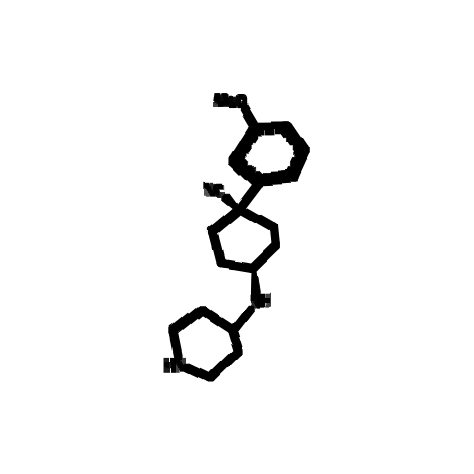 COc1cccc([C@]2(C#N)CC[C@@H](NC3CCNCC3)CC2)c1